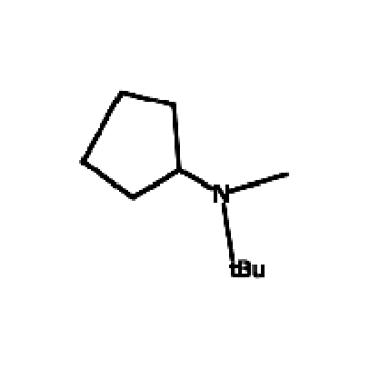 CN(C1CCCC1)C(C)(C)C